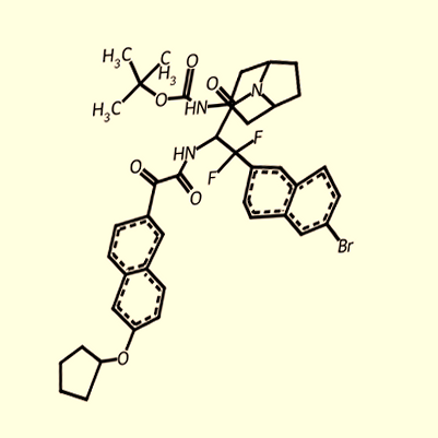 CC(C)(C)OC(=O)NC1CC2CCC(C1)N2C(=O)C(NC(=O)C(=O)c1ccc2cc(OC3CCCC3)ccc2c1)C(F)(F)c1ccc2cc(Br)ccc2c1